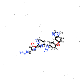 Cc1cc(Nc2ccnc(-c3nc(CN)co3)n2)ccc1Oc1ccc2c(c1)ncn2C